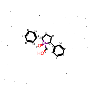 O=P1(CO)[C@H](c2ccccc2)CC[C@H]1c1ccccc1